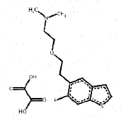 CN(C)CCOCCc1cc2ccsc2cc1F.O=C(O)C(=O)O